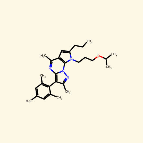 CCCc1cc2c(C)nc3c(-c4c(C)cc(C)cc4C)c(C)nn3c2n1CCCOC(C)C